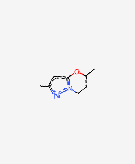 Cc1cc2n(n1)CCC(C)O2